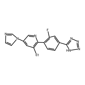 CCc1cc(-n2ccnc2)cnc1-c1ccc(-c2nnn[nH]2)cc1F